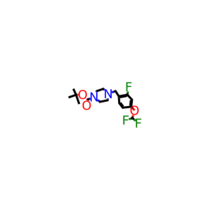 CC(C)(C)OC(=O)N1CCN(Cc2ccc(OC(F)F)cc2F)CC1